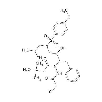 COc1ccc(S(=O)(=O)N(CC(C)C)C[C@@H](O)[C@H](Cc2ccccc2)N(NC(=O)CCl)C(=O)CC(C)(C)C)cc1